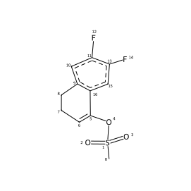 CS(=O)(=O)OC1=CCCc2cc(F)c(F)cc21